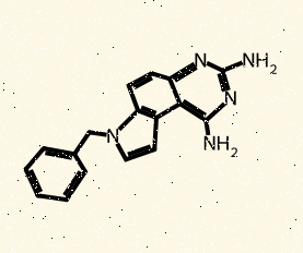 Nc1nc(N)c2c(ccc3c2ccn3Cc2ccccc2)n1